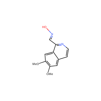 COc1cc2ccnc(C=NO)c2cc1OC